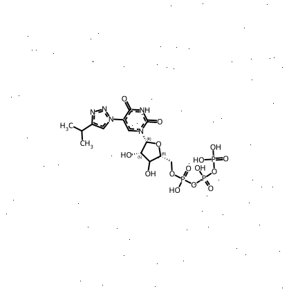 CC(C)c1cn(-c2cn([C@@H]3O[C@H](COP(=O)(O)OP(=O)(O)OP(=O)(O)O)C(O)[C@@H]3O)c(=O)[nH]c2=O)nn1